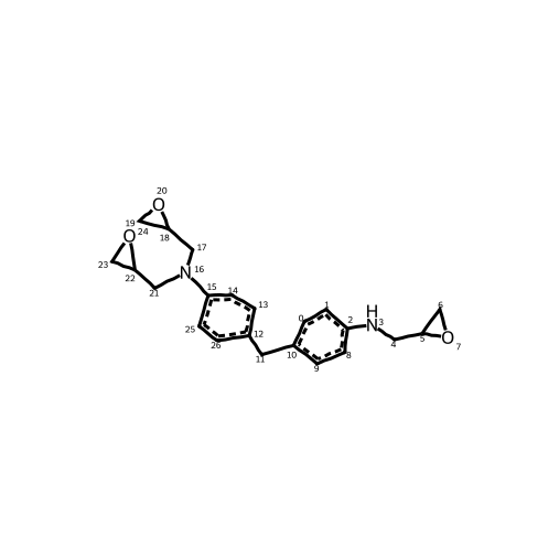 c1cc(NCC2CO2)ccc1Cc1ccc(N(CC2CO2)CC2CO2)cc1